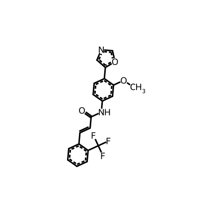 COc1cc(NC(=O)C=Cc2ccccc2C(F)(F)F)ccc1-c1cnco1